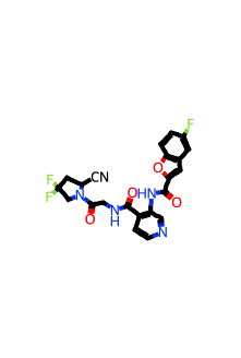 N#CC1CC(F)(F)CN1C(=O)CNC(=O)c1ccncc1NC(=O)c1cc2cc(F)ccc2o1